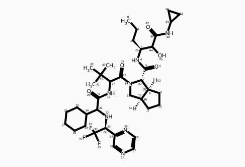 CCC[C@H](NC(=O)[C@@H]1[C@H]2CCC[C@H]2CN1C(=O)C(NC(=O)C(N[C@@H](c1cnccn1)C(F)(F)F)C1CCCCC1)C(C)(C)C)C(O)C(=O)NC1CC1